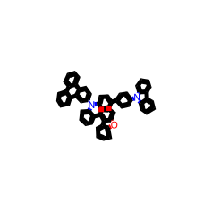 c1ccc(N(c2ccc(-c3ccc(-n4c5ccccc5c5ccccc54)cc3)cc2)c2ccc3c4ccccc4c4ccccc4c3c2)c(-c2cccc3oc4ccccc4c23)c1